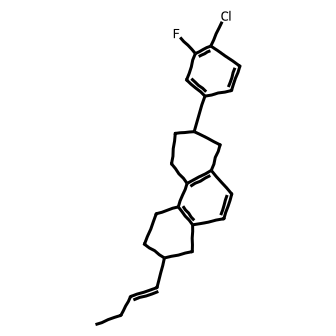 CCC=CC1CCc2c(ccc3c2CCC(c2ccc(Cl)c(F)c2)C3)C1